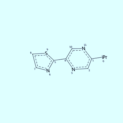 CC(C)c1cnc(-c2nccs2)cn1